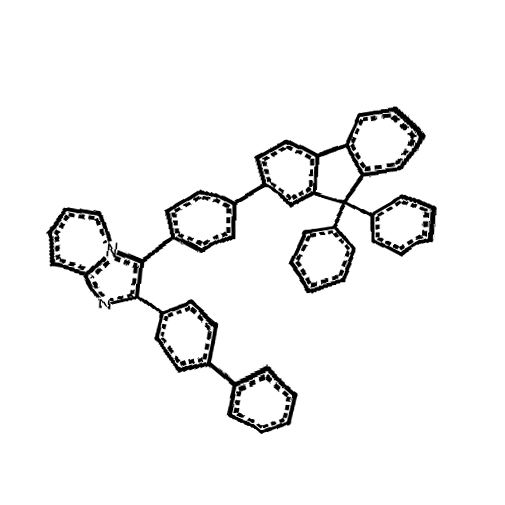 c1ccc(-c2ccc(-c3nc4ccccn4c3-c3ccc(-c4ccc5c(c4)C(c4ccccc4)(c4ccccc4)c4ccccc4-5)cc3)cc2)cc1